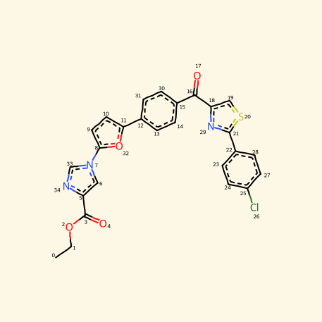 CCOC(=O)c1cn(-c2ccc(-c3ccc(C(=O)c4csc(-c5ccc(Cl)cc5)n4)cc3)o2)cn1